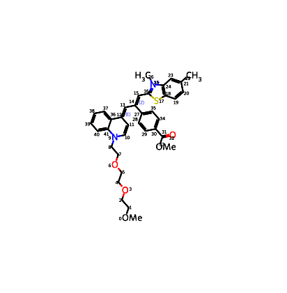 COCCOCCOCCN1C=C/C(=C\C(=C\c2sc3ccc(C)cc3[n+]2C)c2ccc(C(=O)OC)cc2)c2ccccc21